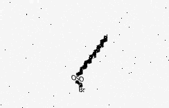 CCCCCCCCCCCCCCCS(=O)(=O)CCBr